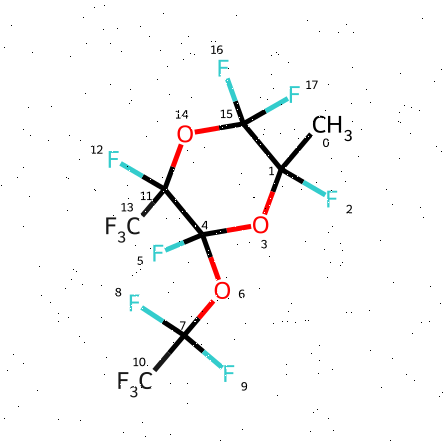 CC1(F)OC(F)(OC(F)(F)C(F)(F)F)C(F)(C(F)(F)F)OC1(F)F